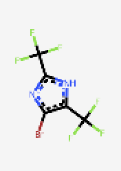 FC(F)(F)c1nc(Br)c(C(F)(F)F)[nH]1